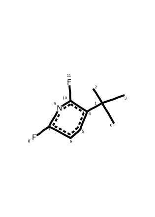 CC(C)(C)c1ccc(F)nc1F